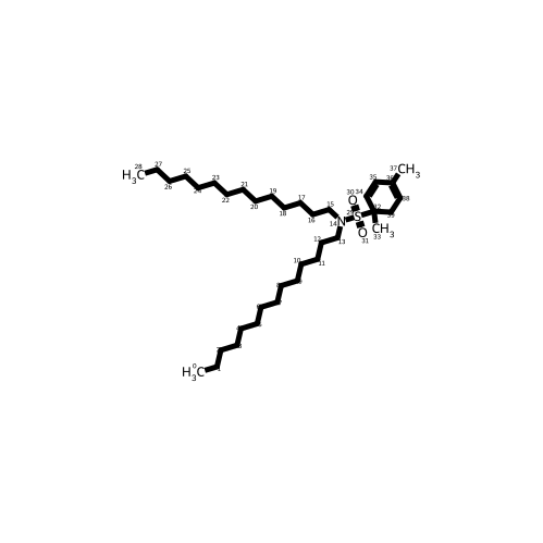 CCCCCCCCCCCCCCN(CCCCCCCCCCCCCC)S(=O)(=O)C1(C)C=CC(C)=CC1